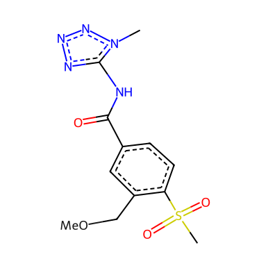 COCc1cc(C(=O)Nc2nnnn2C)ccc1S(C)(=O)=O